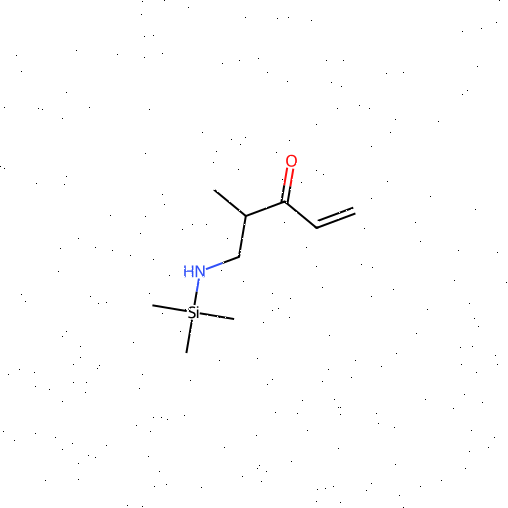 C=CC(=O)C(C)CN[Si](C)(C)C